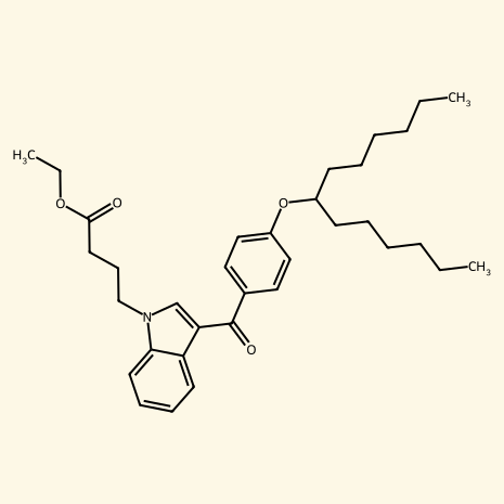 CCCCCCC(CCCCCC)Oc1ccc(C(=O)c2cn(CCCC(=O)OCC)c3ccccc23)cc1